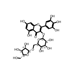 O=c1c(O[C@@H]2O[C@H](CO[C@@H]3O[C@H](CO)[C@@H](O)[C@H]3O)[C@H](O)[C@H](O)[C@H]2O)c(-c2cc(O)c(O)c(O)c2)oc2cc(O)cc(O)c12